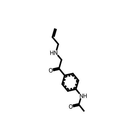 C=CCNCC(=O)c1ccc(NC(C)=O)cc1